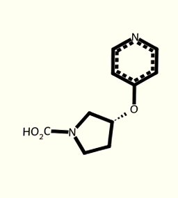 O=C(O)N1CC[C@@H](Oc2ccncc2)C1